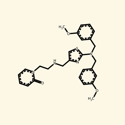 COc1cccc(CN(Cc2cccc(OC)c2)c2nc(CNCCn3ccccc3=O)cs2)c1